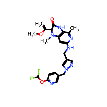 C=C(OC)[C@H]1C(=O)Nc2c(cc(NCc3cnn(Cc4ccc(OC(F)F)nc4)c3)nc2C)N1C